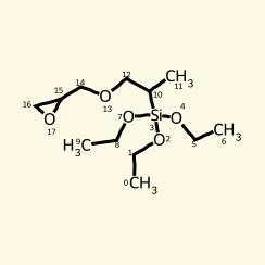 CCO[Si](OCC)(OCC)C(C)COCC1CO1